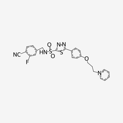 N#Cc1ccc(CNS(=O)(=O)c2nnc(-c3ccc(OCCC[n+]4ccccc4)cc3)s2)cc1F